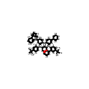 Cc1cc2c3c(c1)N(c1ccc(C(C)(C)C)cc1-c1ccccc1)c1cc(-c4ccccc4)ccc1B3c1ccc(N3c4ccccc4C4(C)CCC34C)cc1N2c1ccc(C(C)(C)C)cc1